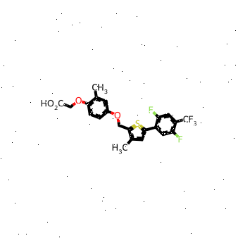 Cc1cc(OCc2sc(-c3cc(F)c(C(F)(F)F)cc3F)cc2C)ccc1OCC(=O)O